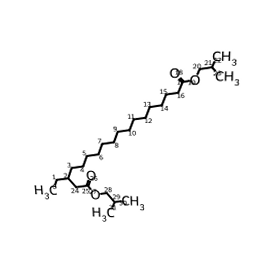 CCC(CCCCCCCCCCCCCCC(=O)OCC(C)C)CC(=O)OCC(C)C